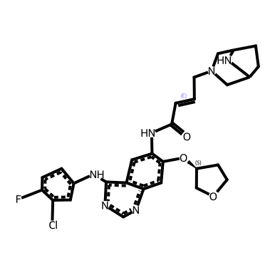 O=C(/C=C/CN1CC2CCC(C1)N2)Nc1cc2c(Nc3ccc(F)c(Cl)c3)ncnc2cc1O[C@H]1CCOC1